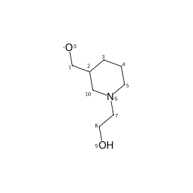 [O]CC1CCCN(CCO)C1